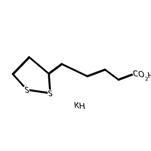 O=C(O)CCCCC1CCSS1.[KH]